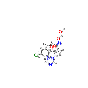 CCC/C(=N\OCOC)C1(C(O)(Cn2cncn2)c2ccc(Cl)cc2)CC1